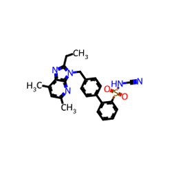 CCc1nc2c(C)cc(C)nc2n1Cc1ccc(-c2ccccc2S(=O)(=O)NC#N)cc1